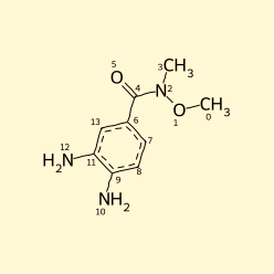 CON(C)C(=O)c1ccc(N)c(N)c1